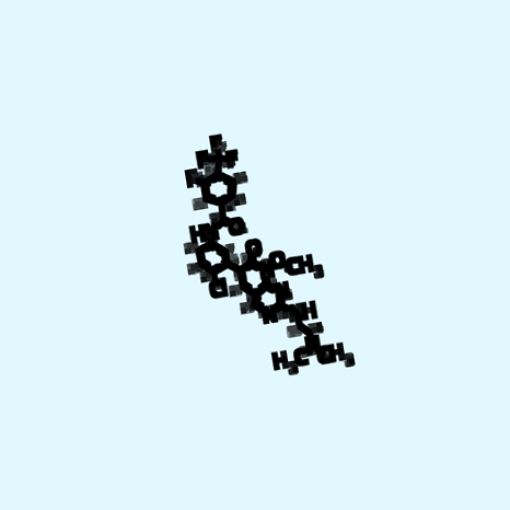 COn1c(=O)c(-c2cc(NC(=O)c3ccc(C(F)(F)F)c(F)c3)ccc2Cl)cc2cnc(NCCN(C)C)nc21